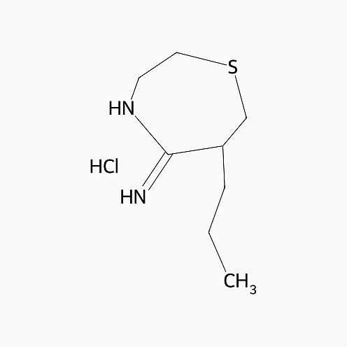 CCCC1CSCCNC1=N.Cl